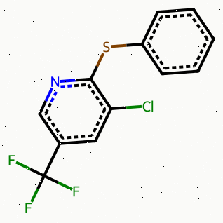 FC(F)(F)c1cnc(Sc2ccccc2)c(Cl)c1